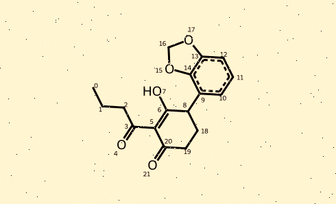 CCCC(=O)C1=C(O)C(c2cccc3c2OCO3)CCC1=O